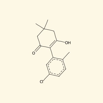 Cc1ccc(Cl)cc1C1=C(O)CC(C)(C)CC1=O